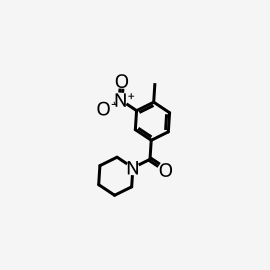 Cc1ccc(C(=O)N2CCCCC2)cc1[N+](=O)[O-]